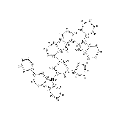 c1ccc(-c2ccc3c4ccccc4n(-c4nc(-c5ccccc5)nc(-c5cccc6c5oc5c(-c7nc8ccccc8n7-c7ccccc7)cccc56)n4)c3c2)cc1